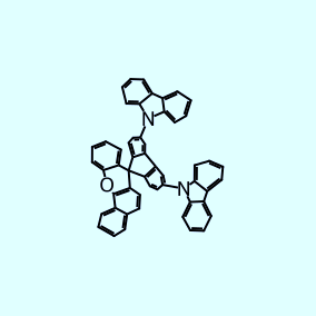 c1ccc2c(c1)Oc1c(ccc3ccccc13)C21c2ccc(-n3c4ccccc4c4ccccc43)cc2-c2cc(-n3c4ccccc4c4ccccc43)ccc21